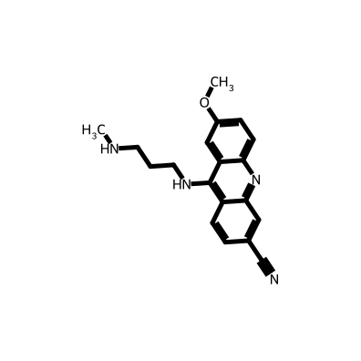 CNCCCNc1c2ccc(C#N)cc2nc2ccc(OC)cc12